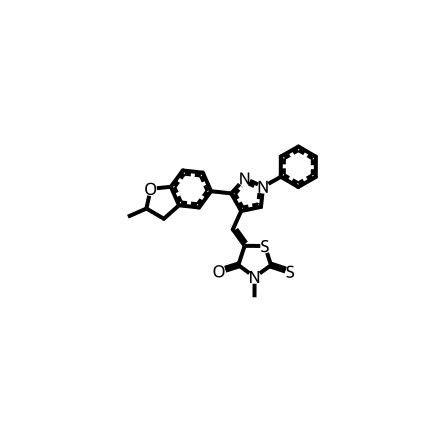 CC1Cc2cc(-c3nn(-c4ccccc4)cc3/C=C3\SC(=S)N(C)C3=O)ccc2O1